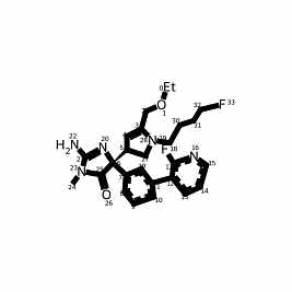 CCOCC1=CC([C@]2(c3cccc(-c4cccnc4F)c3)N=C(N)N(C)C2=O)CN1CCCCF